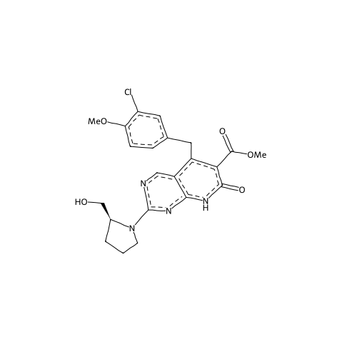 COC(=O)c1c(Cc2ccc(OC)c(Cl)c2)c2cnc(N3CCC[C@H]3CO)nc2[nH]c1=O